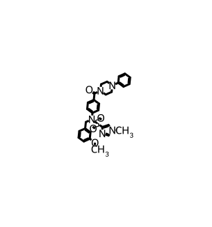 COc1cccc(CN(c2ccc(C(=O)N3CCN(c4ccccc4)CC3)cc2)S(=O)(=O)c2cn(C)cn2)c1